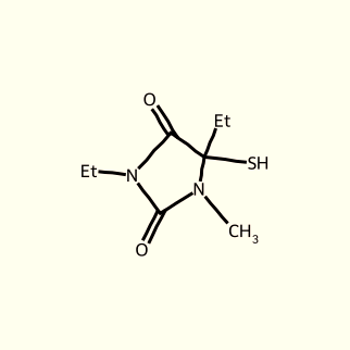 CCN1C(=O)N(C)C(S)(CC)C1=O